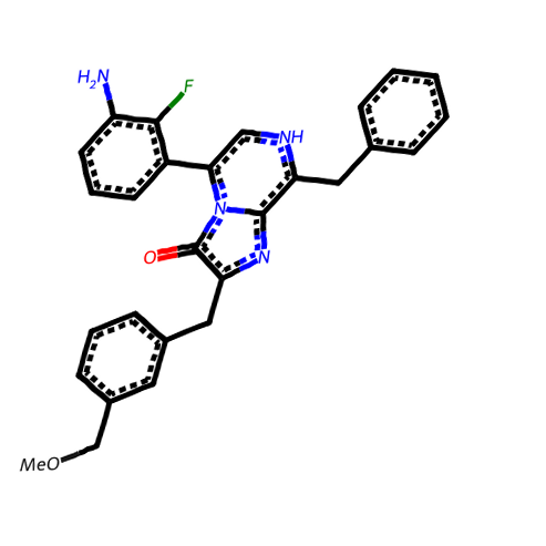 COCc1cccc(Cc2nc3c(Cc4ccccc4)[nH]cc(-c4cccc(N)c4F)n-3c2=O)c1